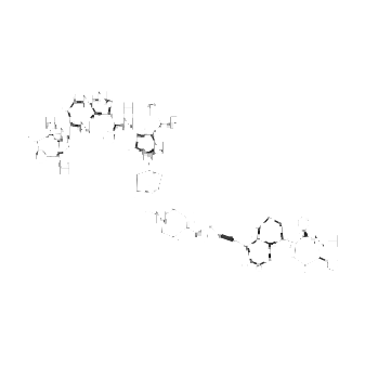 O=C1CCC(c2cccc3c(C#CCOC4CCN(C[C@H]5CC[C@H](n6cc(NC(=O)c7cnn8ccc(N9C[C@H]%10C[C@@H]9CO%10)nc78)c(C(F)F)n6)CC5)CC4)cccc23)C(=O)N1